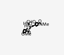 CNC(=O)c1ccc(C#C[C@H](CN2Cc3ccc(OC)cc3C2=O)NC(=O)NC=O)cc1